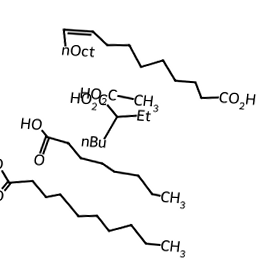 CC(=O)O.CCCCC(CC)C(=O)O.CCCCCCCC(=O)O.CCCCCCCC/C=C\CCCCCCCC(=O)O.CCCCCCCCCC(=O)O